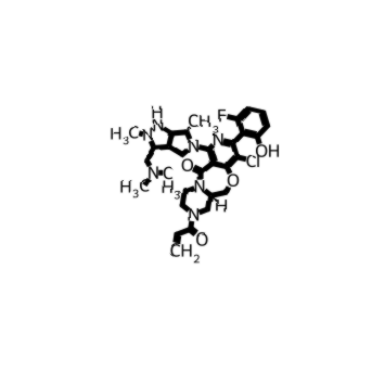 C=CC(=O)N1CCN2C(=O)c3c(N4CC5C(NN(C)C5CN(C)C)[C@@H]4C)nc(-c4c(O)cccc4F)c(Cl)c3OC[C@H]2C1